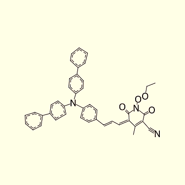 CCOON1C(=O)C(C#N)=C(C)/C(=C/C=C/c2ccc(N(c3ccc(-c4ccccc4)cc3)c3ccc(-c4ccccc4)cc3)cc2)C1=O